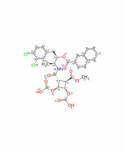 COC(=O)[C@H]1[C@@H](OC(=O)O)[C@@H](OC(=O)O)[C@@H]1C(=O)N[C@@H](C)[C@@H](Cc1ccc(Cl)c(Cl)c1)OC(=O)c1ccc2ccccc2c1